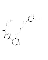 CCOC(=O)c1coc(-c2ccncc2OCCCNc2cnn(C)c2)n1